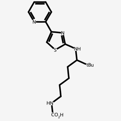 CC(C)(C)C(CCCCNC(=O)O)Nc1nc(-c2ccccn2)cs1